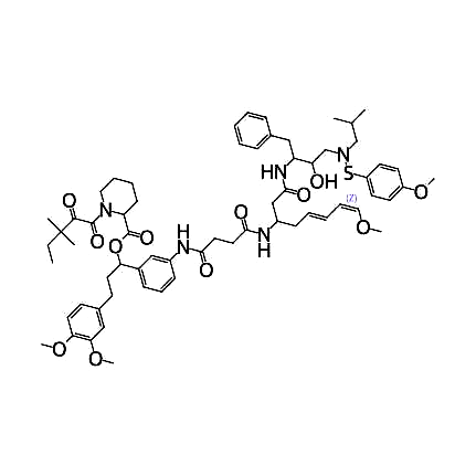 CCC(C)(C)C(=O)C(=O)N1CCCCC1C(=O)OC(CCc1ccc(OC)c(OC)c1)c1cccc(NC(=O)CCC(=O)NC(CC=C/C=C\OC)CC(=O)NC(Cc2ccccc2)C(O)CN(CC(C)C)Sc2ccc(OC)cc2)c1